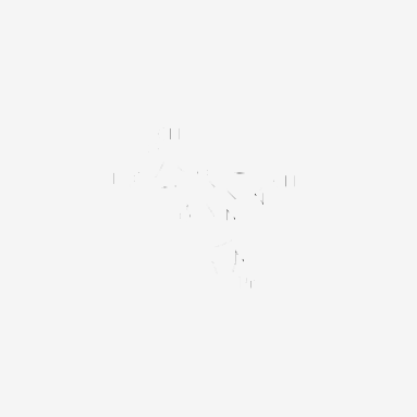 COc1ccc(C(=O)c2cn(Cc3cccc(Br)n3)c3nc(C)ccc3c2=O)cc1C